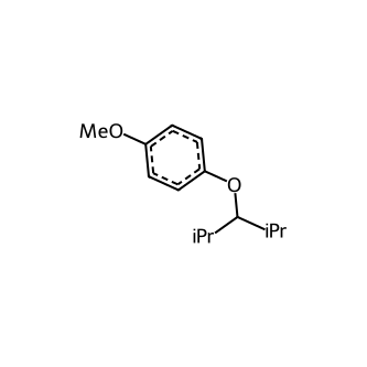 COc1ccc(OC(C(C)C)C(C)C)cc1